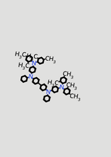 Cc1ccc(N(c2ccc(N(c3ccccc3)c3ccc(-c4ccc(N(c5ccccc5)c5ccc(N(c6ccc(C)cc6C)c6ccc(C)cc6C)cc5)cc4)cc3)cc2)c2ccc(C)cc2C)c(C)c1